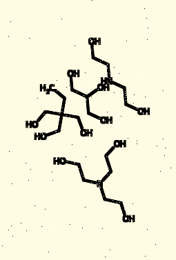 CCC(CO)(CO)CO.OCC(O)CO.OCCN(CCO)CCO.OCCNCCO